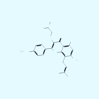 COc1ccc(-c2oc3c(CC=C(C)C)c(O)cc(O)c3c(=O)c2OC[C@H](C)O)cc1